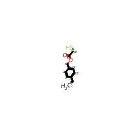 C=Cc1ccc(COC(=O)CS)cc1